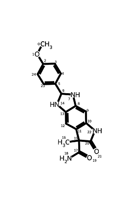 COc1ccc(C2Nc3cc4c(cc3N2)C(C)(C(N)=O)C(=O)N4)cc1